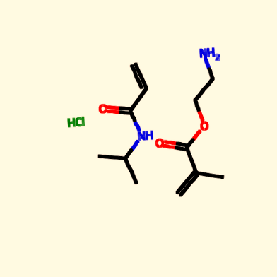 C=C(C)C(=O)OCCN.C=CC(=O)NC(C)C.Cl